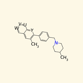 CC1=[C](c2ccc(CN3CCC(C)CC3)cc2)[Y]=[C]2[U]=[V][W]=[CH]C2=C1